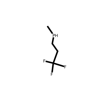 CPCCC(F)(F)F